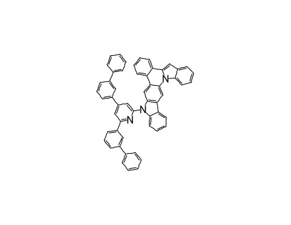 c1ccc(-c2cccc(-c3cc(-c4cccc(-c5ccccc5)c4)nc(-n4c5ccccc5c5cc6c(cc54)c4ccccc4c4cc5ccccc5n46)c3)c2)cc1